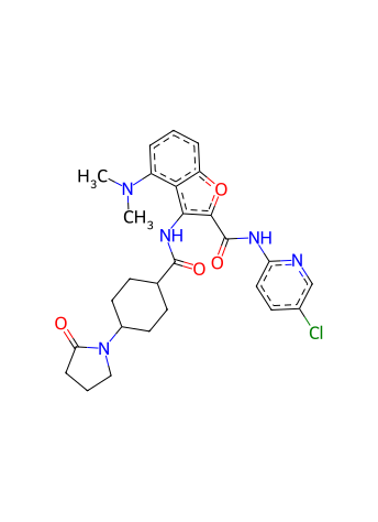 CN(C)c1cccc2oc(C(=O)Nc3ccc(Cl)cn3)c(NC(=O)C3CCC(N4CCCC4=O)CC3)c12